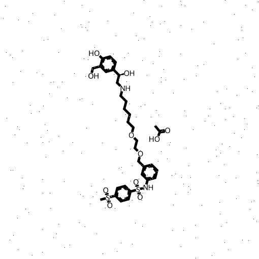 CC(=O)O.CS(=O)(=O)c1ccc(S(=O)(=O)Nc2cccc(COCCOCCCCCCNC[C@H](O)c3ccc(O)c(CO)c3)c2)cc1